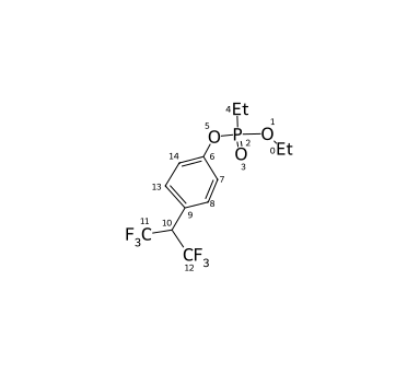 CCOP(=O)(CC)Oc1ccc(C(C(F)(F)F)C(F)(F)F)cc1